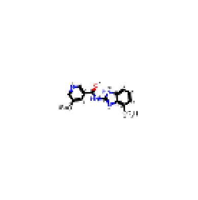 CC(C)COc1cncc(C(=O)Nc2nc3c(C(=O)O)cccc3[nH]2)c1